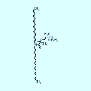 CCCCCCCCCCCCCCN(CCCCCCCCCCCCCC)C(=O)C(C)(C)OCCC(C)(C)OC